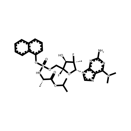 CC(C)OC(=O)[C@H](C)NP(=O)(OC[C@@]1(F)O[C@@H](n2cnc3c(N(C)C)nc(N)nc32)[C@](C)(F)[C@@H]1O)Oc1cccc2ccccc12